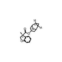 CN1C2CC(OC(=O)[C@@](C)(CO)c3ccccc3)CC1[C@@H]1C[C@H]21